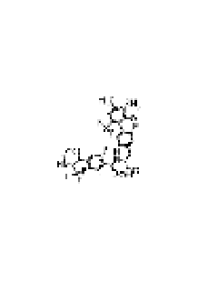 Cc1cc(C(F)(F)F)c(-c2ccc(CC(NC(=O)c3c(F)cc(C4OCCNC4C(F)(F)F)cc3F)C(=O)O)cc2F)c(=O)n1C